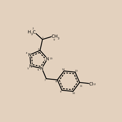 CC(C)c1nnn(Cc2ccc(Cl)cc2)n1